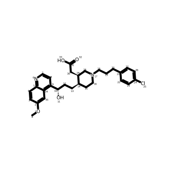 COc1ccc2nccc([C@@H](O)CC[C@@H]3CCN(CCCc4ccc(Cl)cc4)C[C@@H]3CC(=O)O)c2c1